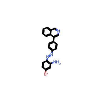 Nc1cc(Br)ccc1N=Nc1ccc(-c2cncc3ccccc23)cc1